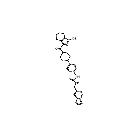 Cn1nc(C(=O)N2CCC(c3ccc(NC(=O)NCc4ccn5ccnc5c4)cc3)CC2)c2c1CCCC2